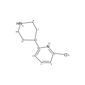 Clc1cccc(C2CCNCC2)n1